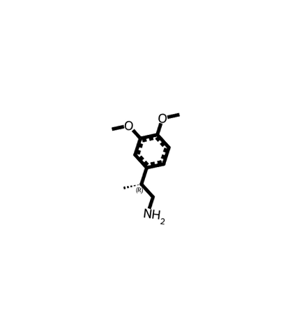 COc1ccc([C@@H](C)CN)cc1OC